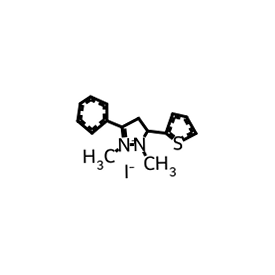 CN1C(c2cccs2)CC(c2ccccc2)=[N+]1C.[I-]